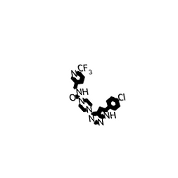 O=C(NCc1ccc(C(F)(F)F)nc1)N1CCN(c2ncnc3[nH]c(-c4ccc(Cl)cc4)cc23)CC1